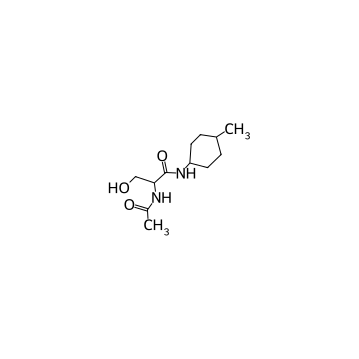 CC(=O)NC(CO)C(=O)NC1CCC(C)CC1